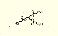 O=C(CCS)OCC(COC(=O)CCS)COC(=O)CCS